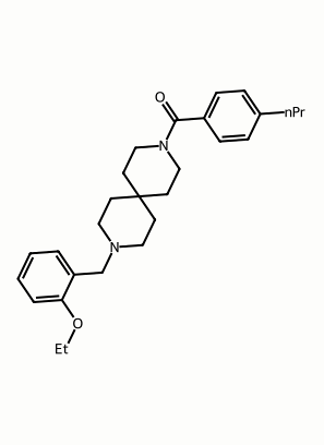 CCCc1ccc(C(=O)N2CCC3(CCN(Cc4ccccc4OCC)CC3)CC2)cc1